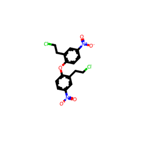 O=[N+]([O-])c1ccc(Oc2ccc([N+](=O)[O-])cc2CCCl)c(CCCl)c1